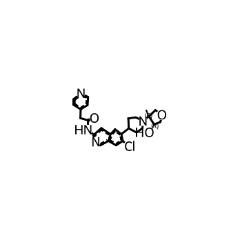 C[C@@]1(N2CCC(c3cc4cc(NC(=O)Cc5ccncc5)ncc4cc3Cl)CC2)COC[C@@H]1O